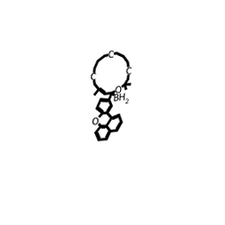 BC1(c2ccc3c(c2)-c2cccc4cccc(c24)O3)/C=C(/C)CCCCCCCCCCCC(C)(C)O1